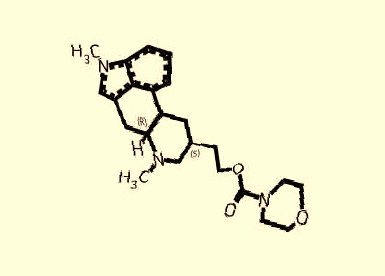 CN1C[C@H](CCOC(=O)N2CCOCC2)CC2c3cccc4c3c(cn4C)C[C@H]21